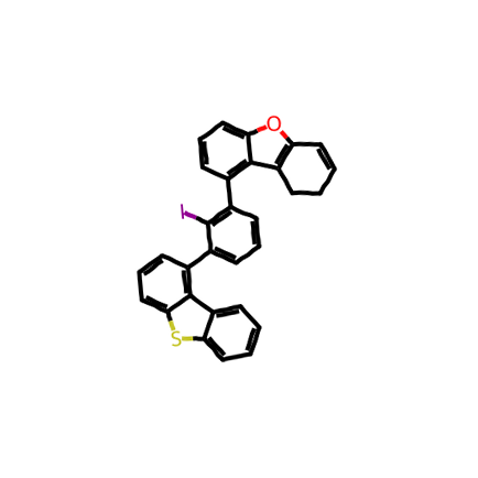 Ic1c(-c2cccc3oc4c(c23)CCC=C4)cccc1-c1cccc2sc3ccccc3c12